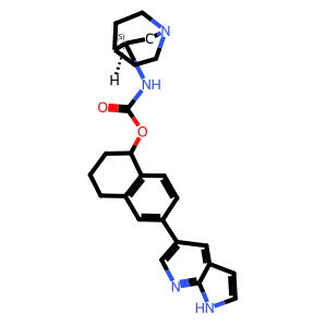 O=C(N[C@@H]1CN2CCC1CC2)OC1CCCc2cc(-c3cnc4[nH]ccc4c3)ccc21